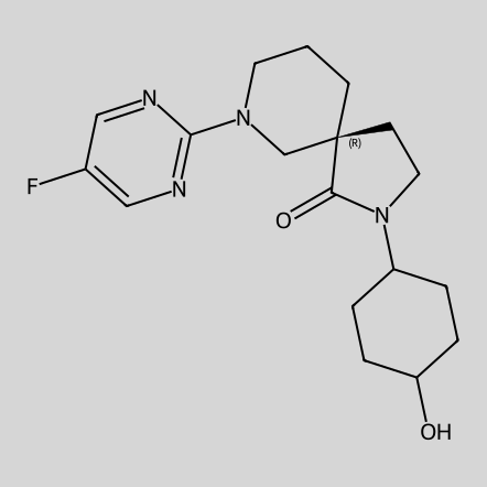 O=C1N(C2CCC(O)CC2)CC[C@@]12CCCN(c1ncc(F)cn1)C2